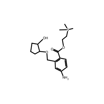 CS(C)(C)CCOC(=O)c1ccc(N)cc1COC1CCCC1O